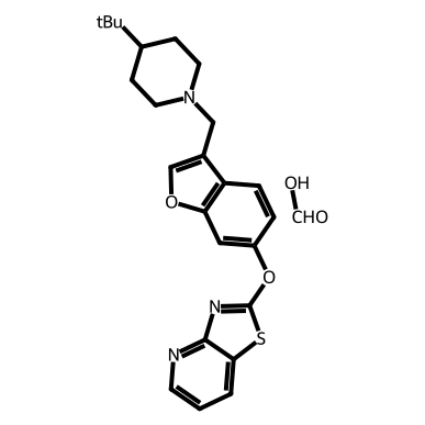 CC(C)(C)C1CCN(Cc2coc3cc(Oc4nc5ncccc5s4)ccc23)CC1.O=CO